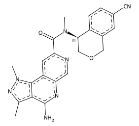 Cc1nn(C)c2c1c(N)nc1cnc(C(=O)N(C)[C@@H]3COCc4cc(C#N)ccc43)cc12